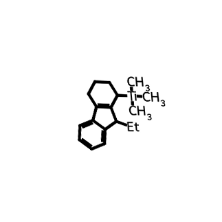 CCC1C2=C(CCC[CH]2[Ti]([CH3])([CH3])[CH3])c2ccccc21